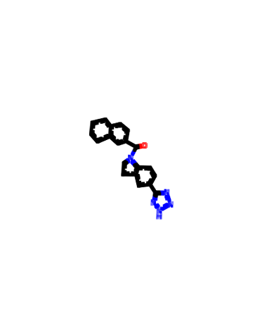 O=C(c1ccc2ccccc2c1)n1ccc2cc(-c3nn[nH]n3)ccc21